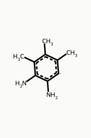 Cc1[c]c(N)c(N)c(C)c1C